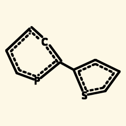 c1ccc(-c2cccs2)pc1